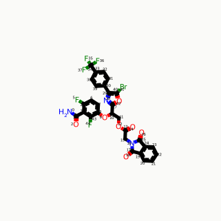 NC(=O)c1c(F)ccc(OC(COC(=O)CN2C(=O)c3ccccc3C2=O)c2nc(-c3ccc(C(F)(F)F)cc3)c(Br)o2)c1F